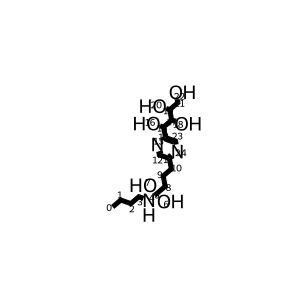 CCCCNC(O)(O)CCCc1cnc(C(O)C(O)C(O)CO)cn1